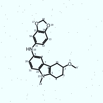 COC1CCc2c(c3cc(Nc4ccc5c(c4)OCO5)ccc3n2C)C1